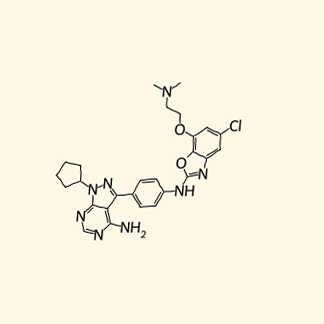 CN(C)CCOc1cc(Cl)cc2nc(Nc3ccc(-c4nn(C5CCCC5)c5ncnc(N)c45)cc3)oc12